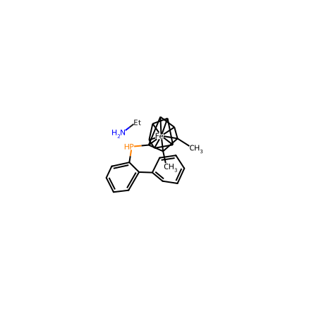 CCN.C[C]12[CH]3[CH]4[C]5(Pc6ccccc6-c6ccccc6)[C]1(C)[Fe]34251678[CH]2[CH]1[CH]6[CH]7[CH]28